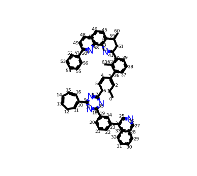 CC/C=C(\C=C/Cc1nc(C2=CCC=CC=C2)nc(-c2cccc(-c3cncc4ccccc34)c2)n1)c1cccc(C2=Nc3c(ccc4ccc(-c5ccccc5)nc34)C(C)C2)c1C